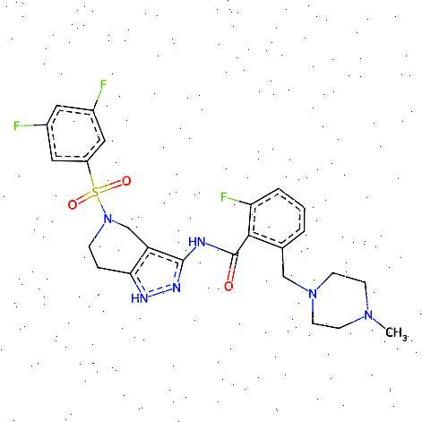 CN1CCN(Cc2cccc(F)c2C(=O)Nc2n[nH]c3c2CN(S(=O)(=O)c2cc(F)cc(F)c2)CC3)CC1